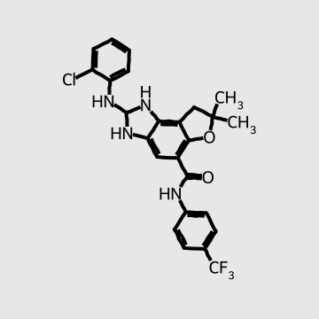 CC1(C)Cc2c3c(cc(C(=O)Nc4ccc(C(F)(F)F)cc4)c2O1)NC(Nc1ccccc1Cl)N3